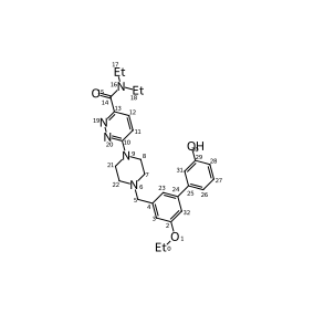 CCOc1cc(CN2CCN(c3ccc(C(=O)N(CC)CC)nn3)CC2)cc(-c2cccc(O)c2)c1